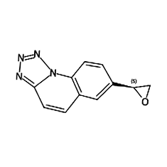 c1cc2c(ccc3nnnn32)cc1[C@H]1CO1